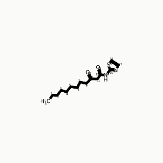 CCCCCCCCCC(=O)CC(=O)Nc1nccs1